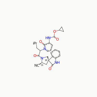 CC(C)CC(C(=O)N1C[C@]2(C[C@H]1C#N)C(=O)Nc1ccccc12)n1cccc(NC(=O)OC2CC2)c1=O